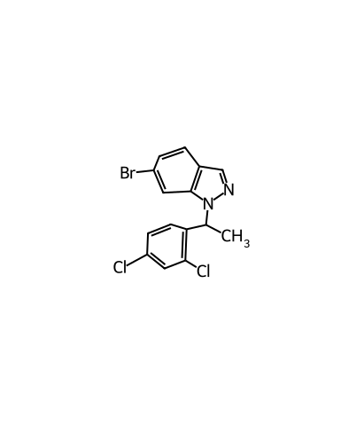 CC(c1ccc(Cl)cc1Cl)n1ncc2ccc(Br)cc21